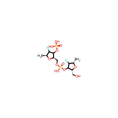 B[C@@H]1O[C@H](COP(=O)(O)OC2C(F)[C@H](B)O[C@@H]2CO)C(OP(=O)(O)O)C1F